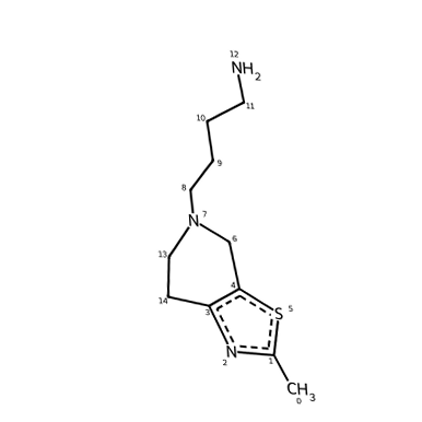 Cc1nc2c(s1)CN(CCCCN)CC2